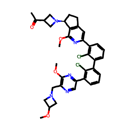 COc1nc(-c2cccc(-c3cccc(-c4cc5c(c(OC)n4)[C@@H](N4CC(C(C)=O)C4)CC5)c3Cl)c2Cl)cnc1CN1CC(OC)C1